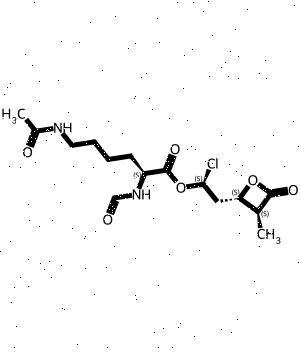 CC(=O)NCCCC[C@H](NC=O)C(=O)O[C@@H](Cl)C[C@@H]1OC(=O)[C@H]1C